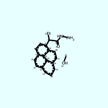 CCC(C(=O)NN)c1ccc2ccc3cccc4ccc1c2c34.CO